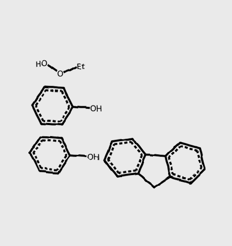 CCOO.Oc1ccccc1.Oc1ccccc1.c1ccc2c(c1)Cc1ccccc1-2